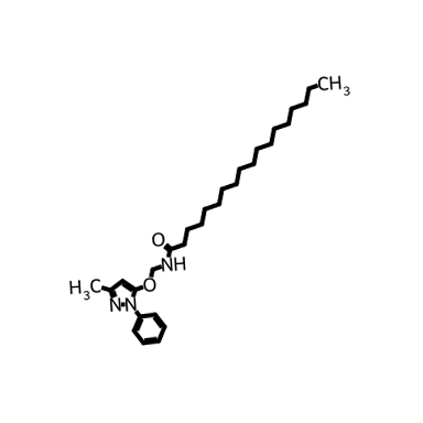 CCCCCCCCCCCCCCCCCC(=O)NCOc1cc(C)nn1-c1ccccc1